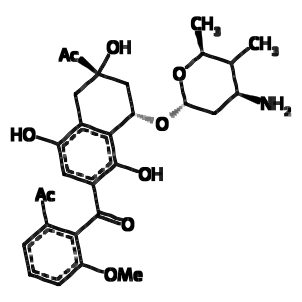 COc1cccc(C(C)=O)c1C(=O)c1cc(O)c2c(c1O)[C@@H](O[C@H]1C[C@H](N)C(C)[C@H](C)O1)C[C@](O)(C(C)=O)C2